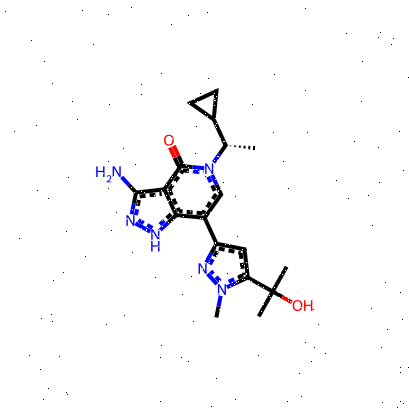 C[C@@H](C1CC1)n1cc(-c2cc(C(C)(C)O)n(C)n2)c2[nH]nc(N)c2c1=O